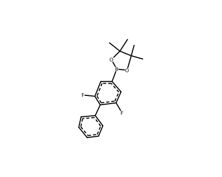 CC1(C)OB(c2cc(F)c(-c3ccccc3)c(F)c2)OC1(C)C